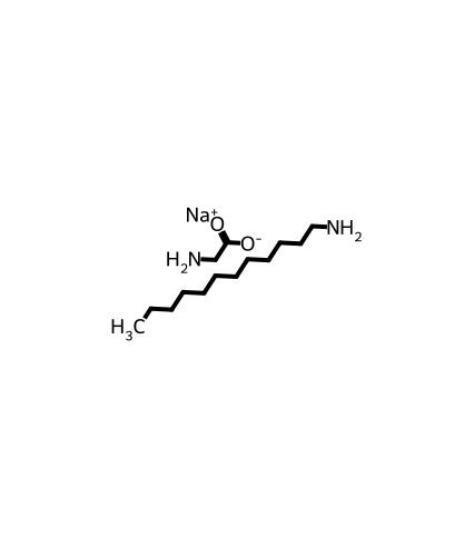 CCCCCCCCCCCCN.NCC(=O)[O-].[Na+]